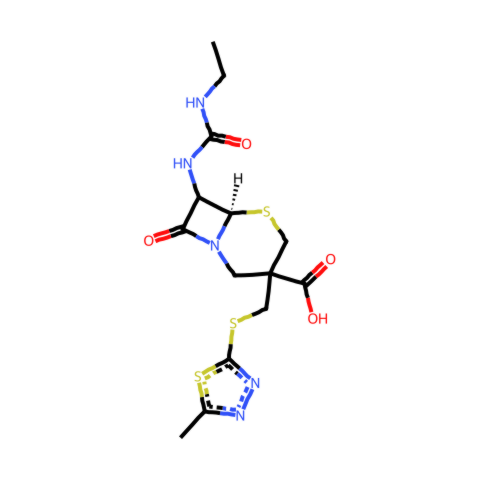 CCNC(=O)NC1C(=O)N2CC(CSc3nnc(C)s3)(C(=O)O)CS[C@H]12